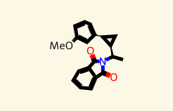 COc1cccc([C@@H]2C[C@H]2C(C)N2C(=O)c3ccccc3C2=O)c1